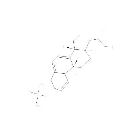 C[C@H](CBr)[C@H]1CC[C@H]2C3=CC=C4C[C@@H](O[Si](C)(C)C(C)(C)C)C=C[C@]4(C)[C@H]3CC[C@]12C